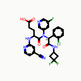 N#Cc1ccnc(NC(CCC(=O)O)C(=O)N(c2cncc(F)c2)[C@H](C(=O)NC2CC(F)(F)C2)c2ccccc2Cl)c1